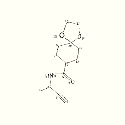 C#CC(C)NC(=O)C1CCC2(CC1)OCCO2